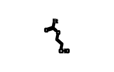 CCC(=O)OCCC=O